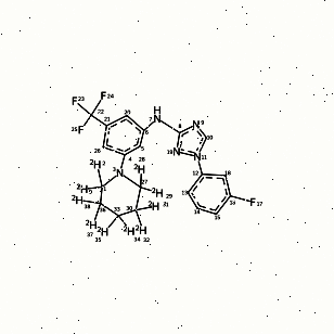 [2H]C1([2H])N(c2cc(Nc3ncn(-c4cccc(F)c4)n3)cc(C(F)(F)F)c2)C([2H])([2H])C([2H])([2H])C([2H])([2H])C1([2H])[2H]